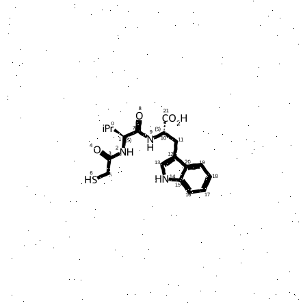 CC(C)[C@H](NC(=O)CS)C(=O)N[C@@H](Cc1c[nH]c2ccccc12)C(=O)O